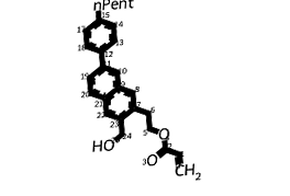 C=CC(=O)OCCc1cc2cc(-c3ccc(CCCCC)cc3)ccc2cc1CO